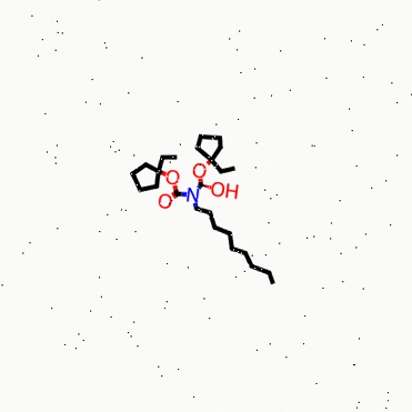 CCCCCCCCCN(C(=O)OC1(CC)CCCC1)[C@H](O)OC1(CC)CCCC1